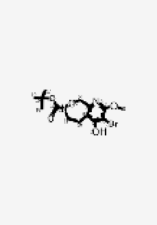 COc1nc2c(c(O)c1Br)CCN(C(=O)OC(C)(C)C)CC2